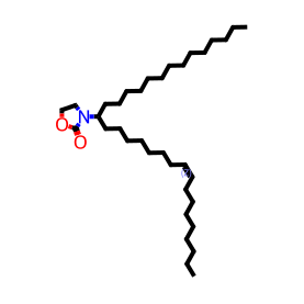 CCCCCCCC/C=C\CCCCCCCC(CCCCCCCCCCCCCC)N1CCOC1=O